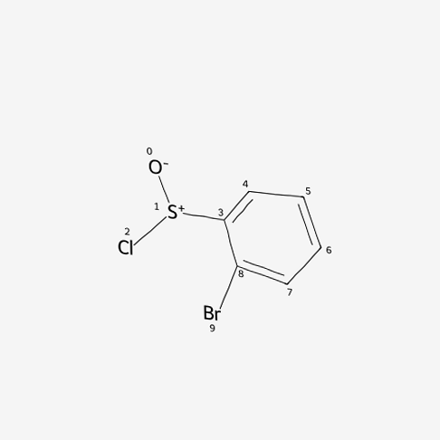 [O-][S+](Cl)c1ccccc1Br